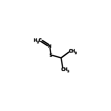 C=NSC(C)C